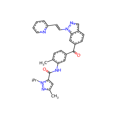 Cc1cc(C(=O)Nc2cc(C(=O)c3ccc4cnn(C=Cc5ccccn5)c4c3)ccc2C)n(C(C)C)n1